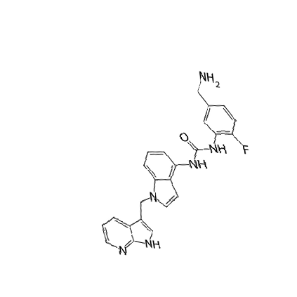 NCc1ccc(F)c(NC(=O)Nc2cccc3c2ccn3Cc2c[nH]c3ncccc23)c1